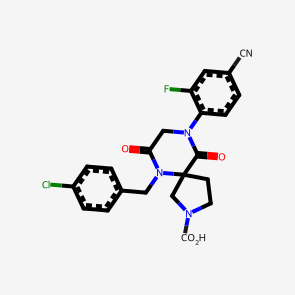 N#Cc1ccc(N2CC(=O)N(Cc3ccc(Cl)cc3)C3(CCN(C(=O)O)C3)C2=O)c(F)c1